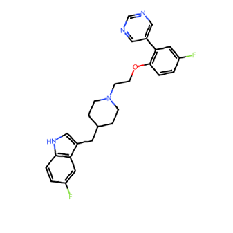 Fc1ccc(OCCN2CCC(Cc3c[nH]c4ccc(F)cc34)CC2)c(-c2cncnc2)c1